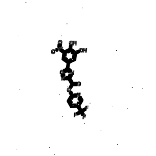 O=C(Oc1ccc(C(F)(F)F)cn1)c1noc(-c2cc(O)c(O)c([N+](=O)[O-])c2)n1